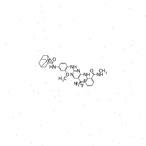 CNC(=O)c1cccc(C)c1Nc1nc(Nc2ccc(NC(=O)C34CC5CC(C3)C(=O)C(C5)C4)cc2OC)ncc1C(F)(F)F